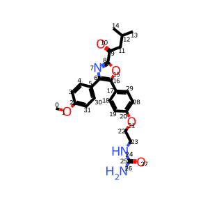 COc1ccc(-c2nc(C(=O)CC(C)C)oc2-c2ccc(OCCNC(N)=O)cc2)cc1